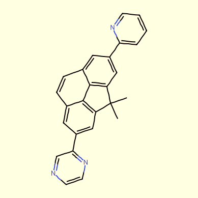 CC1(C)c2cc(-c3ccccn3)cc3ccc4cc(-c5cnccn5)cc1c4c23